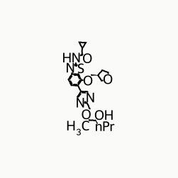 CCC[C@H](O)[C@H](C)OCc1ncc(-c2ccc3nc(NC(=O)C4CC4)sc3c2OC[C@H]2CCOC2)cn1